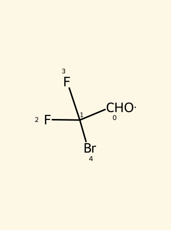 O=[C]C(F)(F)Br